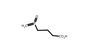 C=P(=O)CCCC(=O)O